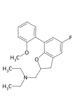 CCN(CC)CC1Cc2cc(F)cc(-c3ccccc3OC)c2O1